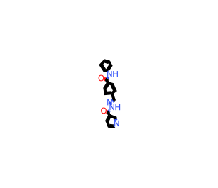 O=C(NN=Cc1ccc(C(=O)Nc2ccccc2)cc1)c1cccnc1